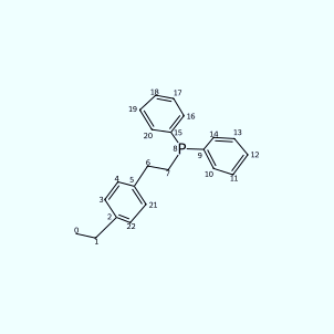 CCc1ccc(CCP(c2ccccc2)c2ccccc2)cc1